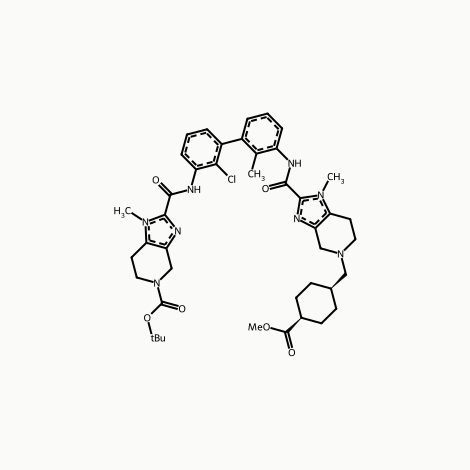 COC(=O)[C@H]1CC[C@@H](CN2CCc3c(nc(C(=O)Nc4cccc(-c5cccc(NC(=O)c6nc7c(n6C)CCN(C(=O)OC(C)(C)C)C7)c5Cl)c4C)n3C)C2)CC1